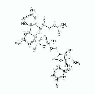 CC[C@@]1(N)[C@H](O)[C@@H](COP(=O)(S)OP(=O)(O)OC2OC([C@@H](F)COC(C)=O)C(OC(C)=O)C(O)C2OC(C)=O)O[C@H]1n1ccc(=O)[nH]c1=O